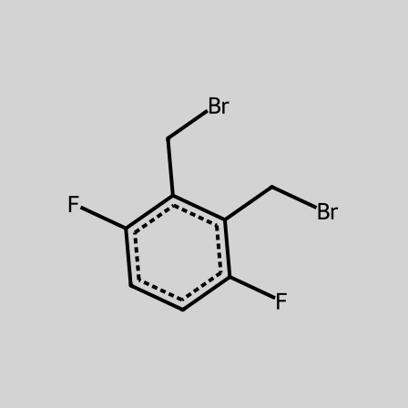 Fc1ccc(F)c(CBr)c1CBr